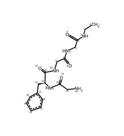 [CH2]CNC(=O)CNC(=O)CNC(=O)[C@H](Cc1ccccc1)NC(=O)CN